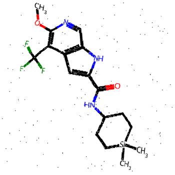 COc1ncc2[nH]c(C(=O)NC3CC[Si](C)(C)CC3)cc2c1C(F)(F)F